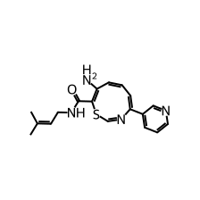 CC(C)=CCNC(=O)c1scnc(-c2cccnc2)cccc1N